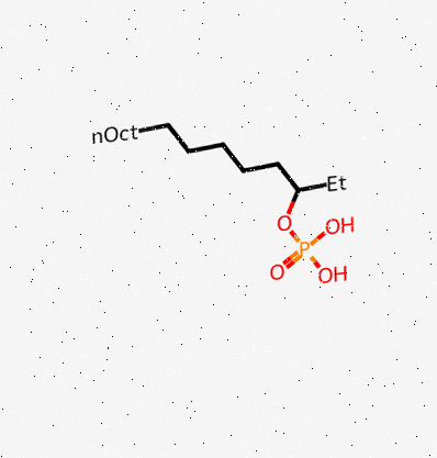 CCCCCCCCCCCCCC(CC)OP(=O)(O)O